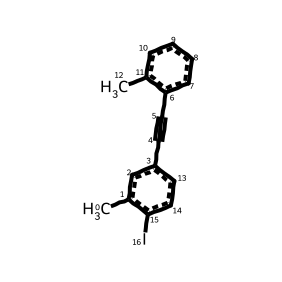 Cc1cc(C#Cc2ccccc2C)ccc1I